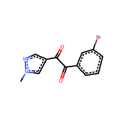 Cn1cc(C(=O)C(=O)c2cccc(Br)c2)cn1